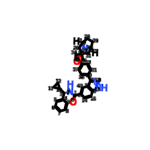 O=C(N[C@H](c1ccccc1)C1CC1)c1ccc2[nH]nc(-c3ccc(OC4C[C@H]5CC[C@@H](C4)N5C4COC4)cc3)c2c1